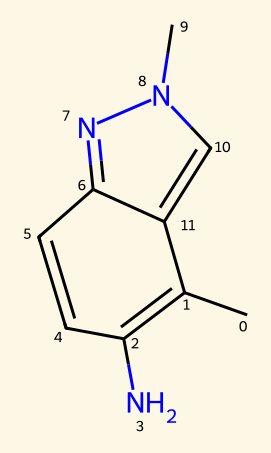 Cc1c(N)ccc2nn(C)cc12